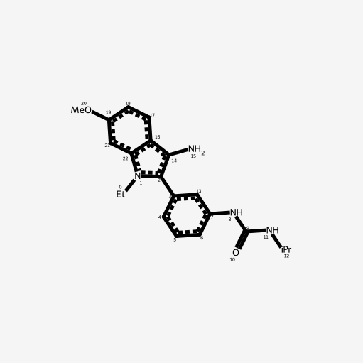 CCn1c(-c2cccc(NC(=O)NC(C)C)c2)c(N)c2ccc(OC)cc21